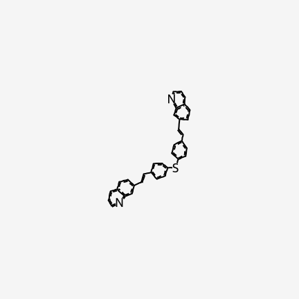 C(=C\c1ccc2cccnc2c1)/c1ccc(Sc2ccc(/C=C/c3ccc4cccnc4c3)cc2)cc1